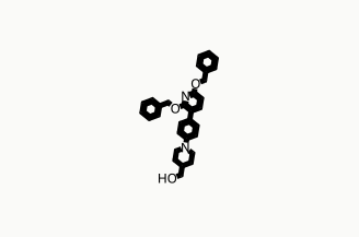 OCC1CCN(c2ccc(-c3ccc(OCc4ccccc4)nc3OCc3ccccc3)cc2)CC1